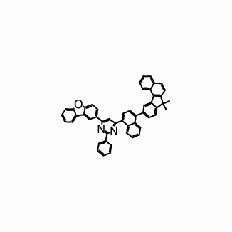 CC1(C)c2ccc(-c3ccc(-c4cc(-c5ccc6oc7ccccc7c6c5)nc(-c5ccccc5)n4)c4ccccc34)cc2-c2c1ccc1ccccc21